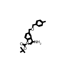 Cc1ccc(COCc2ccc3c(c2)c(N)cn3C(=O)OC(C)(C)C)cc1